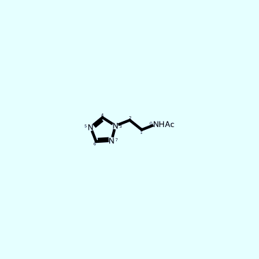 CC(=O)NCCn1cncn1